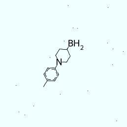 BC1CCN(c2ccc(C)cc2)CC1